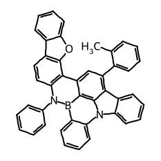 Cc1ccccc1-c1cc2c3c4c1c1ccccc1n4-c1ccccc1B3N(c1ccccc1)c1ccc3c(oc4ccccc43)c1-2